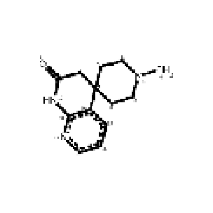 CN1CCC2(CC1)CC(=O)Nc1ncccc12